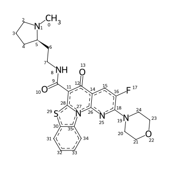 CN1CCC[C@@H]1CCNC(=O)c1c(=O)c2cc(F)c(N3CCOCC3)nc2n2c1sc1ccccc12